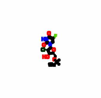 CC(C)(C)[Si](C)(C)OC[C@H]1O[C@@H](n2cc(F)c(=O)[nH]c2=O)[C@@H](Cl)[C@@H]1O